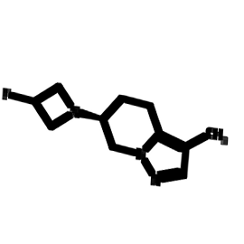 Cc1cnn2c1CC[C@H](N1CC(F)C1)C2